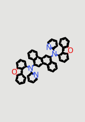 c1ccc(N(c2cc3c4ccccc4c(N(c4ccccn4)c4cccc5oc6ccccc6c45)cc3c3ccccc23)c2cccc3oc4ccccc4c23)nc1